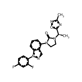 Cc1noc([C@@H](C)N2CCN(c3cccc4c3cnn4-c3ccc(F)cc3F)C2=O)n1